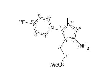 COCCc1c(N)n[nH]c1-c1ccc(F)cc1